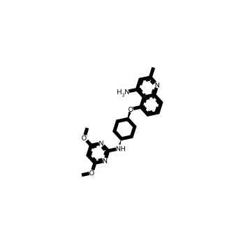 COc1cc(OC)nc(N[C@H]2CC[C@H](Oc3cccc4nc(C)cc(N)c34)CC2)n1